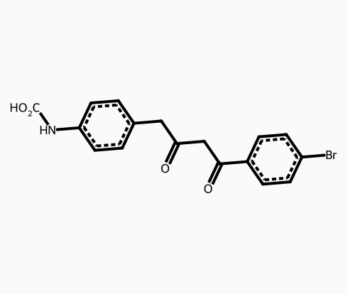 O=C(CC(=O)c1ccc(Br)cc1)Cc1ccc(NC(=O)O)cc1